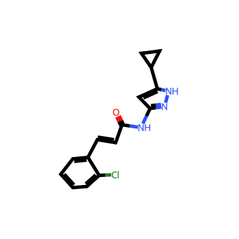 O=C(C=Cc1ccccc1Cl)Nc1cc(C2CC2)[nH]n1